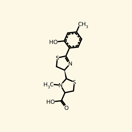 Cc1ccc(C2=N[C@@H](C3SCC(C(=O)O)N3C)CS2)c(O)c1